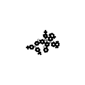 CC(C)(C)c1ccc(N2B3c4cc5c(cc4N(c4ccc6c(c4)C(C)(C)CCC6(C)C)c4cc6c(oc7ccccc76)c(c43)-c3cc4c(cc32)oc2ccc(N(c3ccc(C(C)(C)C)cc3)c3ccc(C(C)(C)C)cc3)cc24)C(C)(C)CCC5(C)C)cc1